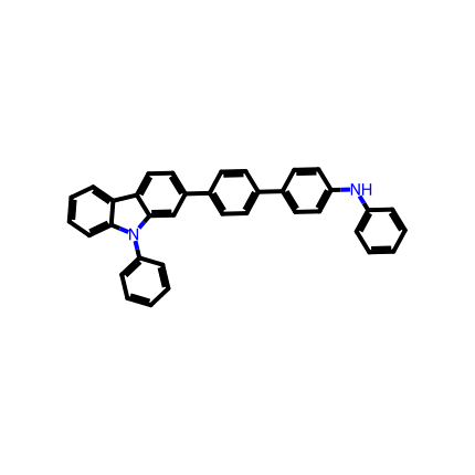 c1ccc(Nc2ccc(-c3ccc(-c4ccc5c6ccccc6n(-c6ccccc6)c5c4)cc3)cc2)cc1